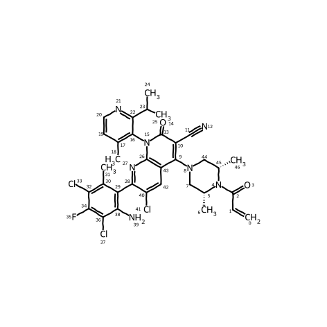 C=CC(=O)N1[C@H](C)CN(c2c(C#N)c(=O)n(-c3c(C)ccnc3C(C)C)c3nc(-c4c(C)c(Cl)c(F)c(Cl)c4N)c(Cl)cc23)C[C@@H]1C